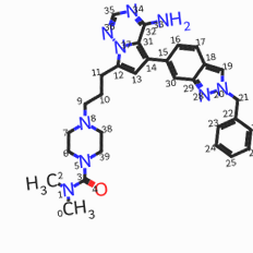 CN(C)C(=O)N1CCN(CCCc2cc(-c3ccc4cn(Cc5ccccc5)nc4c3)c3c(N)ncnn23)CC1